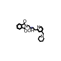 O=C1c2ccccc2C(=O)N1C/C(O)=C/Cc1cc(CN2CCCCC2)ccn1